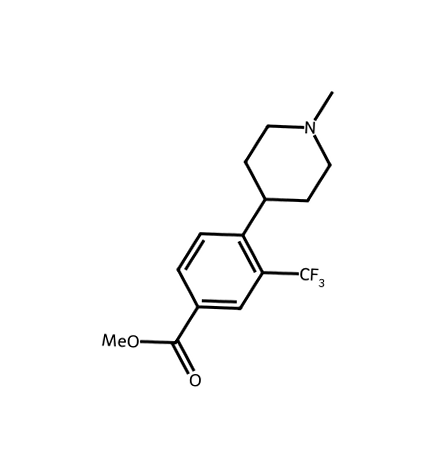 COC(=O)c1ccc(C2CCN(C)CC2)c(C(F)(F)F)c1